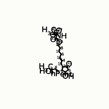 CCCCC[C@](C)(O)C=C[C@H]1[C@H](O)CC(=O)[C@@H]1CC=CCCCCOC(=O)NS(C)(=O)=O